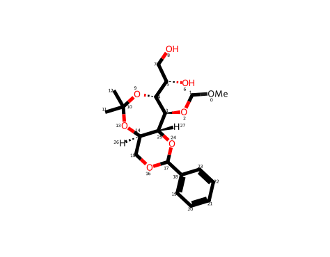 COCO[C@@H]1[C@@H]([C@@H](O)CO)OC(C)(C)O[C@@H]2COC(c3ccccc3)O[C@@H]12